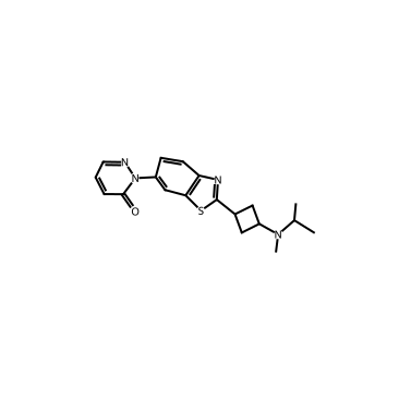 CC(C)N(C)C1CC(c2nc3ccc(-n4ncccc4=O)cc3s2)C1